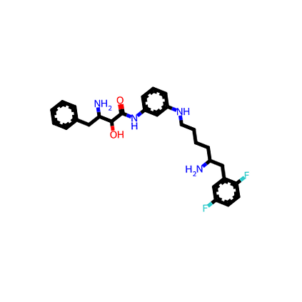 NC(CCCCNc1cccc(NC(=O)C(O)C(N)Cc2ccccc2)c1)Cc1cc(F)ccc1F